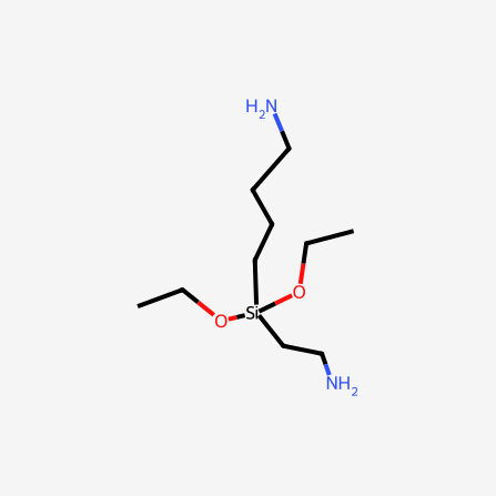 CCO[Si](CCN)(CCCCN)OCC